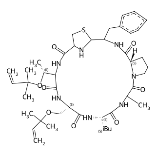 C=CC(C)(C)OC[C@@H]1NC(=O)C([C@@H](C)OC(C)(C)C=C)NC(=O)C2CSC(N2)C(Cc2ccccc2)NC(=O)[C@@H]2CCCN2C(=O)C(C)NC(=O)[C@H]([C@@H](C)CC)NC1=O